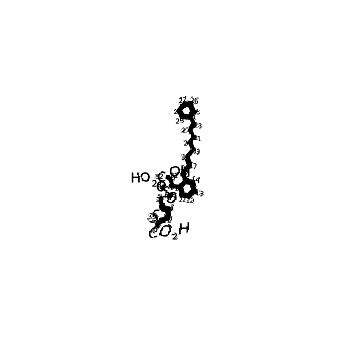 O=C(O)c1ccc(CS(=O)(=O)C(c2ccccc2CCCCCCCCc2ccccc2)C(O)C(=O)O)s1